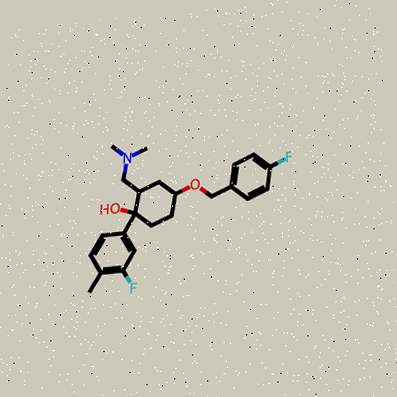 Cc1ccc(C2(O)CCC(OCc3ccc(F)cc3)CC2CN(C)C)cc1F